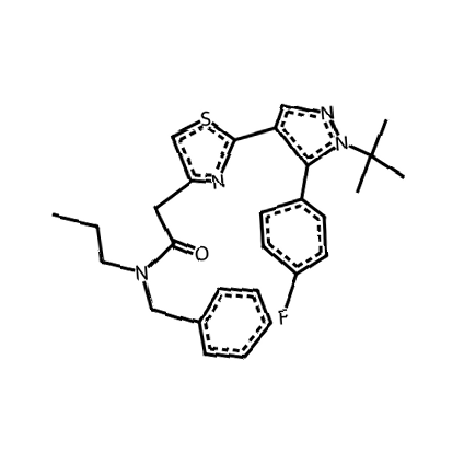 CCCN(Cc1ccccc1)C(=O)Cc1csc(-c2cnn(C(C)(C)C)c2-c2ccc(F)cc2)n1